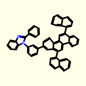 c1ccc(-c2nc3ccccc3n2-c2cccc(-c3ccc4c(c3)c(-c3cccc5ccccc35)cc3c5ccccc5c(-c5cccc6ccccc56)cc43)c2)cc1